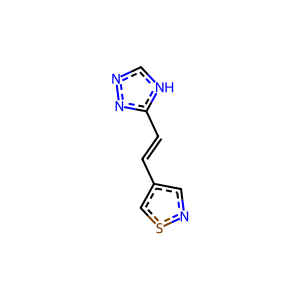 C(=Cc1nnc[nH]1)c1cnsc1